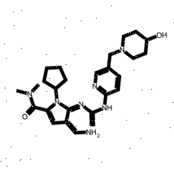 C=C(/N=C1\C(=C/N)C=C(C(=O)N(C)C)N1C1CCCC1)Nc1ccc(CN2CCC(O)CC2)cn1